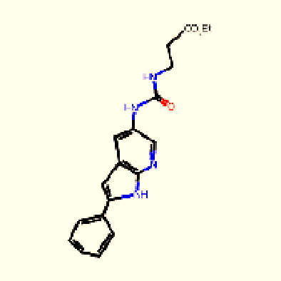 CCOC(=O)CCNC(=O)Nc1cnc2[nH]c(-c3ccccc3)cc2c1